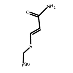 CCCCCSC=CC(N)=O